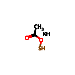 CC(=O)OS.[KH]